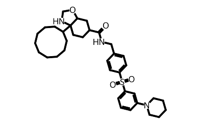 O=C(NCc1ccc(S(=O)(=O)c2cccc(N3CCCCC3)c2)cc1)C1CCC2(C3CCCCCCCCC3)NCOC2C1